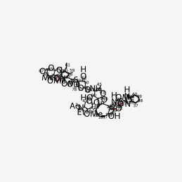 CCN(C(C)=O)C1COC(OC2C(OC3C#C/C=C\C#CC4(O)CC(=O)C(NC(=O)OC)=C3/C4=C\CSSc3nc4ccccc4[nH]3)OC(C)C(NOC3CC(O)C(SC(=O)c4c(C)c(I)c(OC5OC6OC6C(OC)C5O)c(OC)c4OC)C(C)O3)C2O)CC1OC